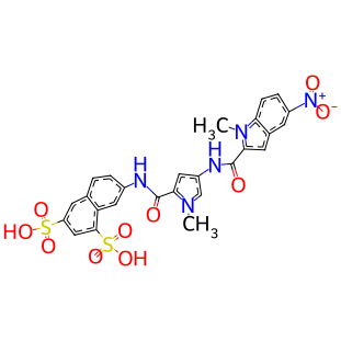 Cn1cc(NC(=O)c2cc3cc([N+](=O)[O-])ccc3n2C)cc1C(=O)Nc1ccc2cc(S(=O)(=O)O)cc(S(=O)(=O)O)c2c1